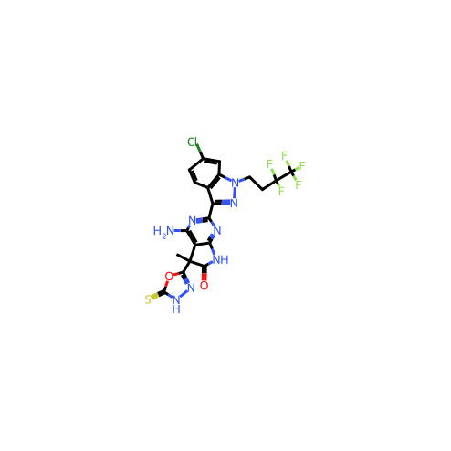 CC1(c2n[nH]c(=S)o2)C(=O)Nc2nc(-c3nn(CCC(F)(F)C(F)(F)F)c4cc(Cl)ccc34)nc(N)c21